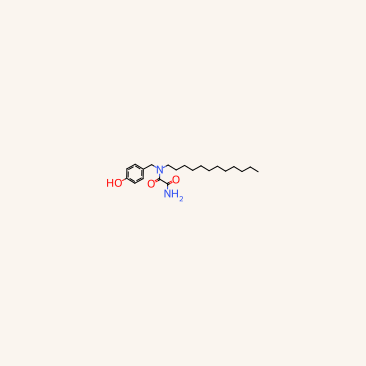 CCCCCCCCCCCCN(Cc1ccc(O)cc1)C(=O)C(N)=O